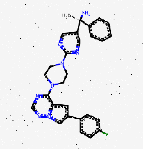 C[C@](N)(c1ccccc1)c1cnc(N2CCN(c3ncnn4cc(-c5ccc(F)cc5)cc34)CC2)nc1